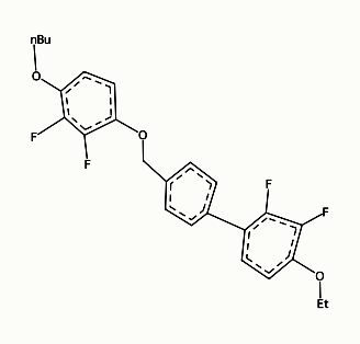 CCCCOc1ccc(OCc2ccc(-c3ccc(OCC)c(F)c3F)cc2)c(F)c1F